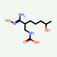 CC(O)CCCC(CNC(=O)O)/C(N)=N/O